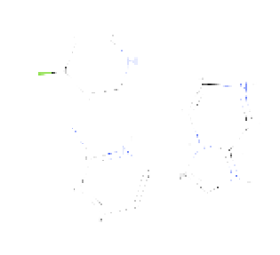 F[C@H]1CCNC[C@@H]1Nc1cccc(-c2cnc3cnccn23)n1